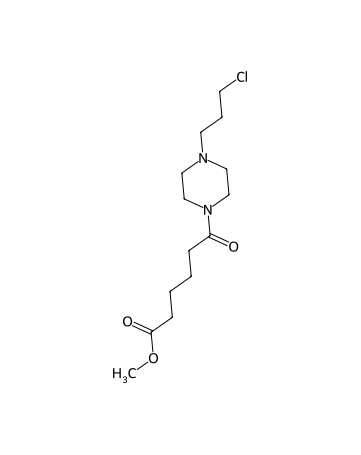 COC(=O)CCCCC(=O)N1CCN(CCCCl)CC1